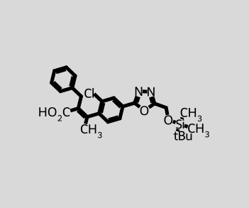 C/C(=C(/Cc1ccccc1)C(=O)O)c1ccc(-c2nnc(CO[Si](C)(C)C(C)(C)C)o2)cc1Cl